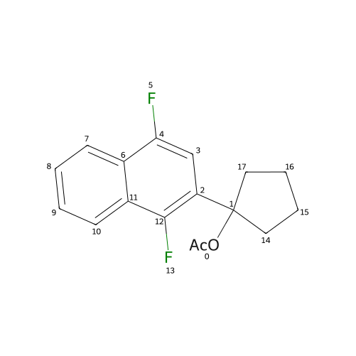 CC(=O)OC1(c2cc(F)c3ccccc3c2F)CCCC1